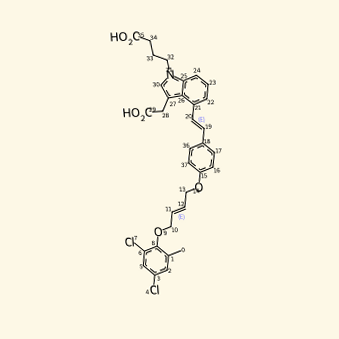 Cc1cc(Cl)cc(Cl)c1OC/C=C/COc1ccc(/C=C/c2cccc3c2c(CC(=O)O)cn3CCCC(=O)O)cc1